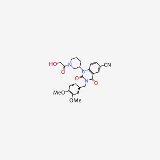 COc1ccc(Cn2c(=O)c3cc(C#N)ccc3n(C3CCCN(C(=O)CO)C3)c2=O)cc1OC